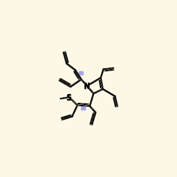 C=C/C=C(\C=C)N1C(C=C)=C(C=C)C1/C(C=C)=C(/C=C)SC